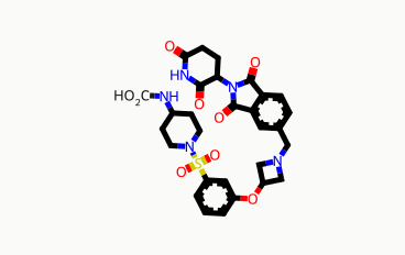 O=C(O)NC1CCN(S(=O)(=O)c2cccc(OC3CN(Cc4ccc5c(c4)C(=O)N(C4CCC(=O)NC4=O)C5=O)C3)c2)CC1